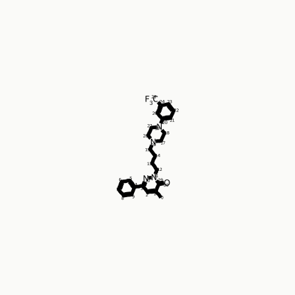 Cc1cc(-c2ccccc2)nn(CCCCN2CCN(c3cccc(C(F)(F)F)c3)CC2)c1=O